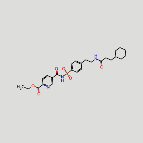 CCOC(=O)c1ccc(C(=O)NS(=O)(=O)c2ccc(CCNC(=O)CCC3CCCCC3)cc2)cn1